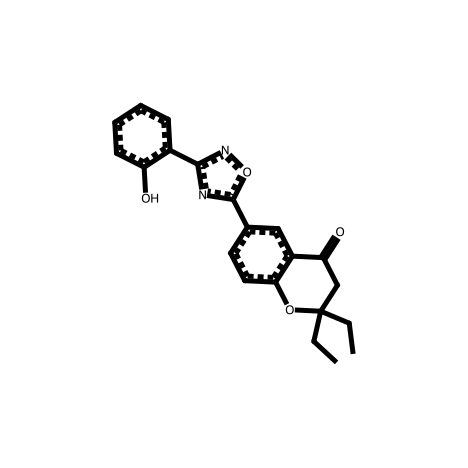 CCC1(CC)CC(=O)c2cc(-c3nc(-c4ccccc4O)no3)ccc2O1